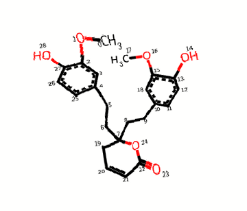 COc1cc(CCC2(CCc3ccc(O)c(OC)c3)CC=CC(=O)O2)ccc1O